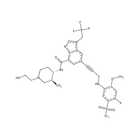 COc1cc(F)c(S(C)(=O)=O)cc1NCC#Cc1cc(C(=O)N[C@H]2CCN(CCO)C[C@@H]2C)c2ncn(CC(F)(F)F)c2c1